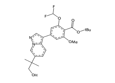 COc1cc(-c2cnn3cc(C(C)(C)CO)ccc23)cc(OC(F)F)c1C(=O)OC(C)(C)C